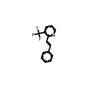 FC(F)(F)c1cccnc1/C=C/c1ccccc1